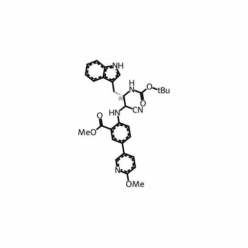 COC(=O)c1cc(-c2ccc(OC)nc2)ccc1NC(C#N)[C@H](Cc1c[nH]c2ccccc12)NC(=O)OC(C)(C)C